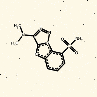 CN(C)C1=S=Nn2c1nc1cccc(S(N)(=O)=O)c12